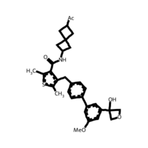 COc1cc(-c2ccc(Cc3c(C)sc(C)c3C(=O)NC3CC4(C3)CC(C(C)=O)C4)cc2)cc(C2(O)COC2)c1